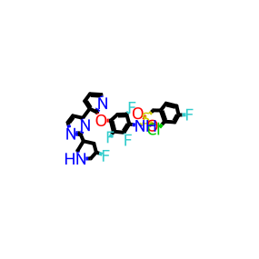 O=S(=O)(Cc1ccc(F)cc1Cl)Nc1c(F)cc(Oc2ncccc2-c2ccnc(C3CNCC(F)C3)n2)c(F)c1F